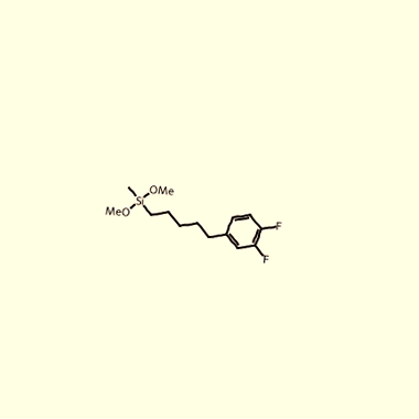 CO[Si](C)(CCCCCc1ccc(F)c(F)c1)OC